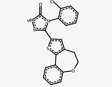 O=c1[nH]nc(-c2cc3c(s2)-c2ccccc2OCC3)n1-c1ccccc1Cl